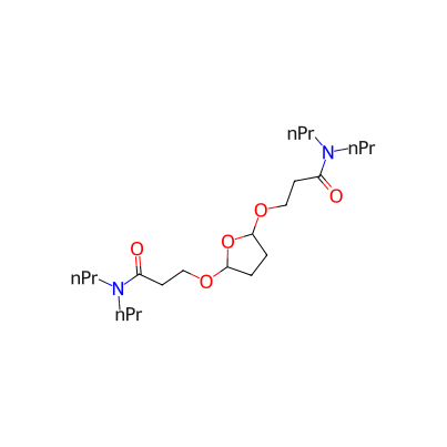 CCCN(CCC)C(=O)CCOC1CCC(OCCC(=O)N(CCC)CCC)O1